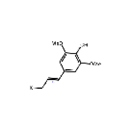 COc1cc(/C=C/[CH2][K])cc(OC)c1O